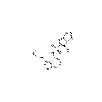 CN(C)CCn1ccc2cccc(NS(=O)(=O)c3nc4csnc4n3Cl)c21